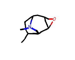 CC1CC2C3OC3C1N2C